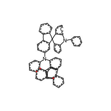 c1ccc(-c2ccccc2-c2ccccc2N(c2ccc3c(c2)C2(c4ccccc4-3)c3ccccc3N(c3ccccc3)c3ccccc32)c2ccccc2-c2ccccc2)cc1